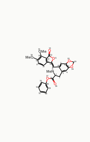 CNC(Cc1cc2c(cc1C=C1OC(=O)c3c1ccc(OC)c3OC)OCO2)C(=O)Oc1ccccc1